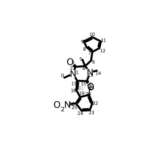 CN1C(=O)C(C)(Cc2ccccc2)N(C)C(=O)/C1=C\c1c(F)cccc1[N+](=O)[O-]